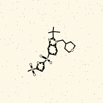 CC(C)(C)c1nc2cc(S(=O)(=O)c3ccc(S(C)(=O)=O)o3)ccc2n1CC1CCOCC1